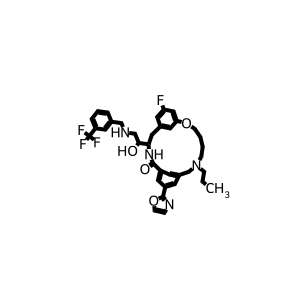 CCCN1CCCCOc2cc(F)cc(c2)CC(C(O)CNCc2cccc(C(F)(F)F)c2)NC(=O)c2cc(cc(-c3ncco3)c2)C1